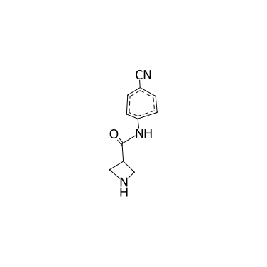 N#Cc1ccc(NC(=O)C2CNC2)cc1